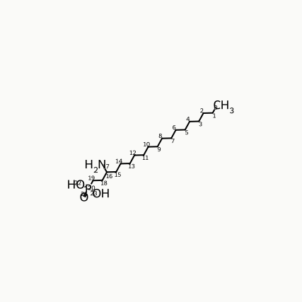 CCCCCCCCCCCCCCCCC(N)CCP(=O)(O)O